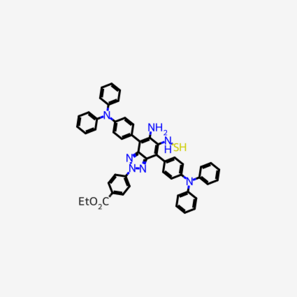 CCOC(=O)c1ccc(-n2nc3c(-c4ccc(N(c5ccccc5)c5ccccc5)cc4)c(N)c(NS)c(-c4ccc(N(c5ccccc5)c5ccccc5)cc4)c3n2)cc1